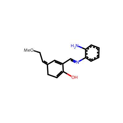 COCC=C1C=C(C=Nc2ccccc2N)C(O)=CC1